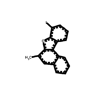 Cc1cc2ccccc2c2c1oc1c(I)cccc12